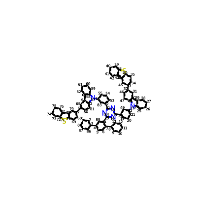 c1ccc(-c2ccc(-c3ccccc3)c(-c3nc(-c4cccc(-n5c6ccccc6c6cc(-c7ccc8sc9ccccc9c8c7)ccc65)c4)nc(-c4cccc(-n5c6ccccc6c6cc(-c7ccc8sc9ccccc9c8c7)ccc65)c4)n3)c2)cc1